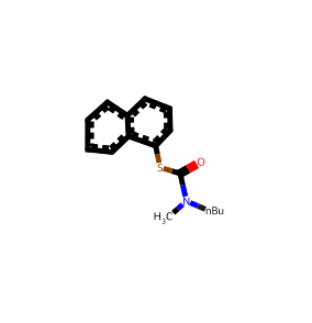 CCCCN(C)C(=O)Sc1cccc2ccccc12